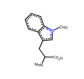 CNC(Cc1cn(C=O)c2ccccc12)C(=O)O